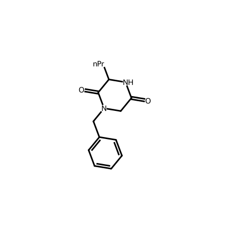 CCCC1NC(=O)CN(Cc2ccccc2)C1=O